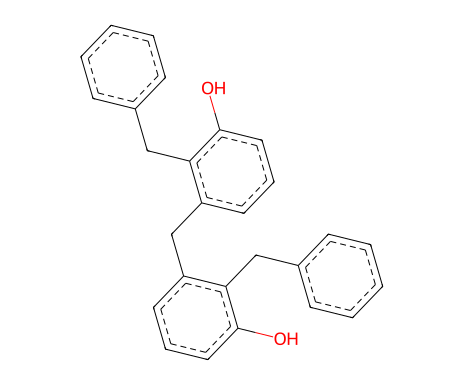 Oc1cccc(Cc2cccc(O)c2Cc2ccccc2)c1Cc1ccccc1